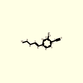 C#Cc1ccc(C=CCCC)cc1F